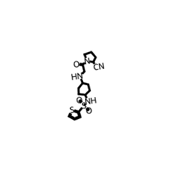 N#CC1CCCN1C(=O)CNC1CCC(NS(=O)(=O)c2cccs2)CC1